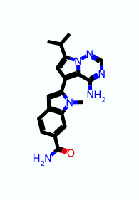 CC(C)c1cc(-c2cc3ccc(C(N)=O)cc3n2C)c2c(N)ncnn12